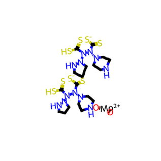 S=C([S-])N(N1CCNCC1)N(C(=S)S)N1CCCN1.S=C([S-])N(N1CCNCC1)N(C(=S)S)N1CCCN1.[O]=[Mo+2]=[O]